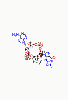 CCCCCCCCC1(CC(=O)O)O[P@@](=O)(S)O[C@H]2C[C@H](n3cnc4c(N)ncnc43)O[C@@H]2CO[P@@](=O)(S)O[C@@H]2[C@H](C)[C@@H]1O[C@H]2n1cnc2c(=O)[nH]c(N)nc21